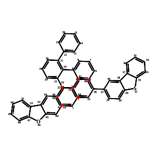 c1ccc(-c2ccccc2-c2c(-c3ccccc3)cccc2N(c2ccc(-c3ccc4sc5ccccc5c4c3)cc2)c2ccc3oc4ccccc4c3c2)cc1